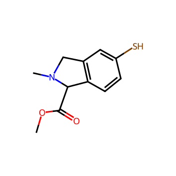 COC(=O)C1c2ccc(S)cc2CN1C